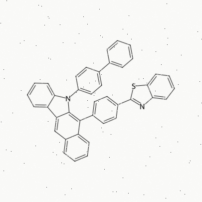 c1ccc(-c2ccc(-n3c4ccccc4c4cc5ccccc5c(-c5ccc(-c6nc7ccccc7s6)cc5)c43)cc2)cc1